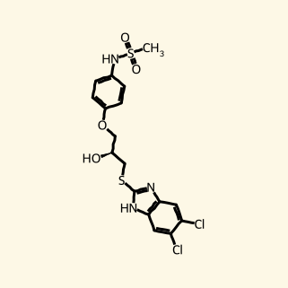 CS(=O)(=O)Nc1ccc(OC[C@H](O)CSc2nc3cc(Cl)c(Cl)cc3[nH]2)cc1